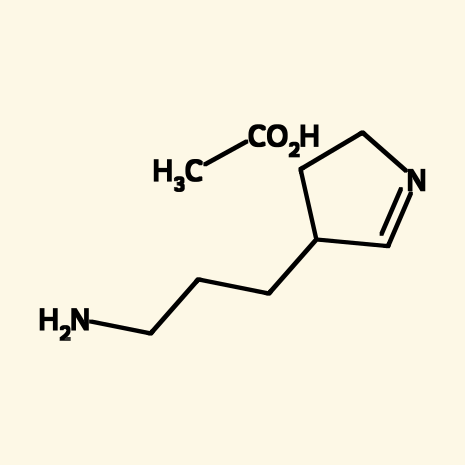 CC(=O)O.NCCCC1C=NCC1